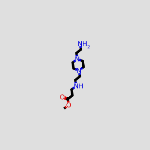 COC(=O)CCNCCN1CCN(CCN)CC1